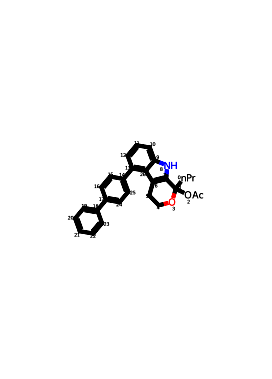 CCCC1(OC(C)=O)OCCc2c1[nH]c1cccc(-c3ccc(-c4ccccc4)cc3)c21